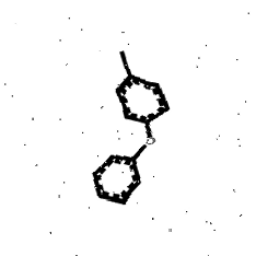 Cc1ccc(Oc2ccccc2)cc1